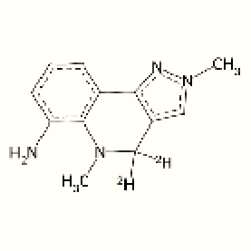 [2H]C1([2H])c2cn(C)nc2-c2cccc(N)c2N1C